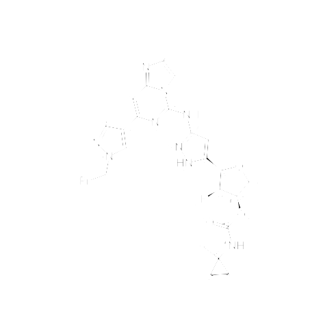 CC(C)Cn1cc(-c2cc3nccn3c(Nc3cc([C@H]4OC[C@@H](OC(=O)NC5(C)CC5)[C@H]4F)[nH]n3)n2)cn1